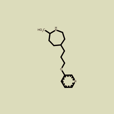 O=C(O)C1CCC(CCCOc2cccnc2)CCN1